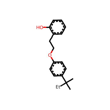 CCC(C)(C)c1ccc(OCCc2ccccc2O)cc1